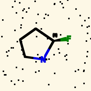 F[C@@H]1CCC[N]1